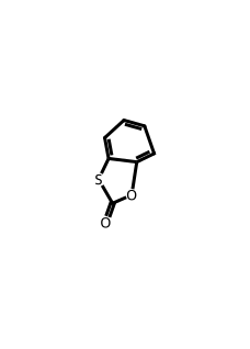 O=c1oc2ccccc2s1